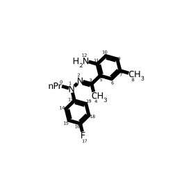 CCCN(/N=C(\C)c1cc(C)ccc1N)c1ccc(F)cc1